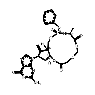 C=C1C(n2cnc3c(=O)[nH]c(N)nc32)C[C@@H]2OC(=O)CCCOC(=O)[C@H](C)N[P@@](=O)(Oc3ccccc3)OC[C@@H]12